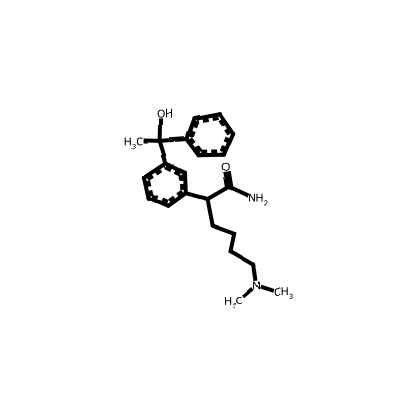 CN(C)CCCCC(C(N)=O)c1cccc(C(C)(O)c2ccccc2)c1